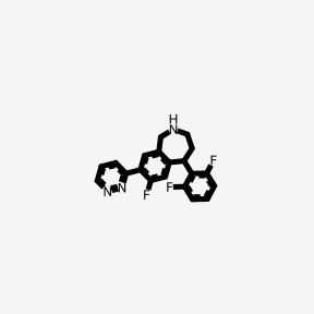 Fc1cc2c(cc1-c1cccnn1)CNCCC2c1c(F)cccc1F